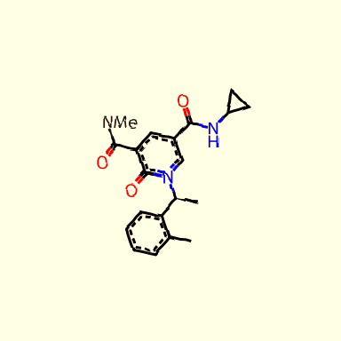 CNC(=O)c1cc(C(=O)NC2CC2)cn([C@@H](C)c2ccccc2C)c1=O